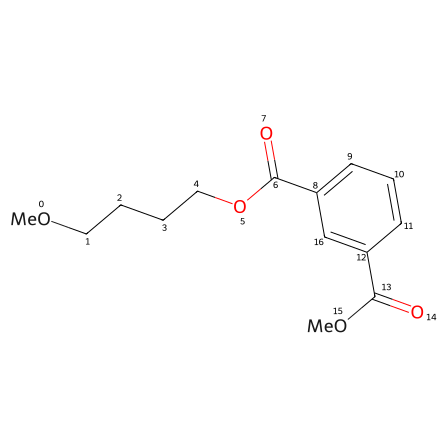 COCCCCOC(=O)c1cccc(C(=O)OC)c1